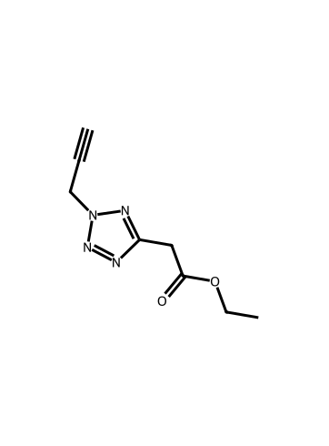 C#CCn1nnc(CC(=O)OCC)n1